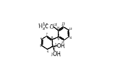 C.OC1(O)CC=CC=C1c1ccccc1Cl